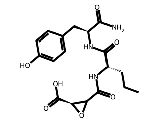 CCC[C@H](NC(=O)C1O[C@H]1C(=O)O)C(=O)N[C@@H](Cc1ccc(O)cc1)C(N)=O